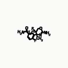 C[C@]1(F)COC(N)=N[C@]1(C)c1cc(C(N)=O)ccc1F